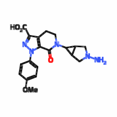 COc1ccc(-n2nc(C(=O)O)c3c2C(=O)N(C2C4CN(N)CC42)CC3)cc1